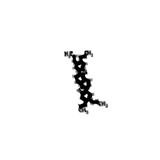 CCCc1cc2sc3c(ccc4c3ccc3c5cc(CCC)c(CCC)cc5sc34)c2cc1CCC